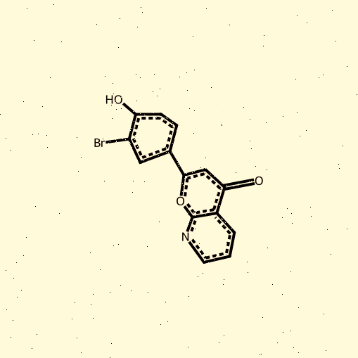 O=c1cc(-c2ccc(O)c(Br)c2)oc2ncccc12